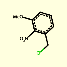 COc1cccc(CCl)c1[N+](=O)[O-]